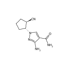 N#C[C@@H]1CCC[C@H]1n1cc(C(N)=O)c(N)n1